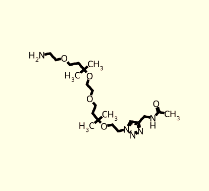 CC(=O)NCc1cn(CCOC(C)(C)CCOCCOC(C)(C)CCOCCN)nn1